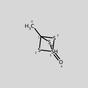 CC12S[SH](=O)(S1)S2